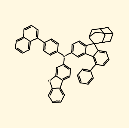 c1ccc(-c2cccc3c2-c2cc(N(c4ccc(-c5cccc6ccccc56)cc4)c4ccc5c(c4)oc4ccccc45)ccc2C32C3CC4CC(C3)CC2C4)cc1